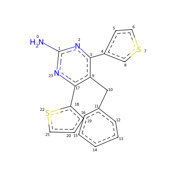 Nc1nc(-c2ccsc2)c(Cc2ccccc2)c(-c2cccs2)n1